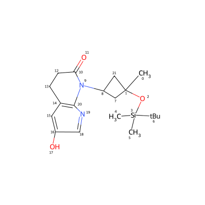 CC1(O[Si](C)(C)C(C)(C)C)CC(N2C(=O)CCc3cc(O)cnc32)C1